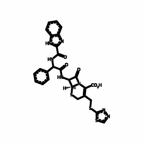 O=C(O)C1=C(CSc2nncs2)CS[C@H]2C(NC(=O)C(NC(=O)c3nc4ccccc4[nH]3)c3ccccc3)C(=O)N12